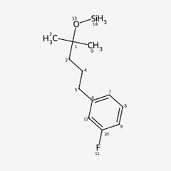 CC(C)(CCCc1cccc(F)c1)O[SiH3]